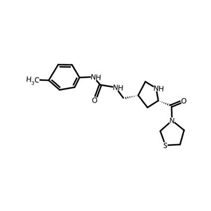 Cc1ccc(NC(=O)NC[C@@H]2CN[C@H](C(=O)N3CCSC3)C2)cc1